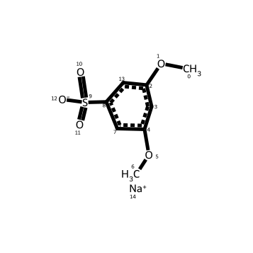 COc1cc(OC)cc(S(=O)(=O)[O-])c1.[Na+]